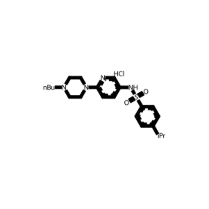 CCCCN1CCN(c2ccc(NS(=O)(=O)c3ccc(C(C)C)cc3)cn2)CC1.Cl